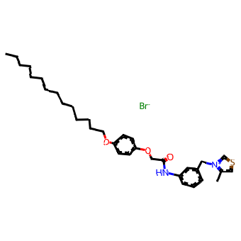 CCCCCCCCCCCCCCOc1ccc(OCC(=O)Nc2cccc(C[n+]3cscc3C)c2)cc1.[Br-]